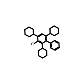 Clc1c(C2CCCCC2)cc(C2CCCCC2)c(-c2ccccc2)c1C1CCCCC1